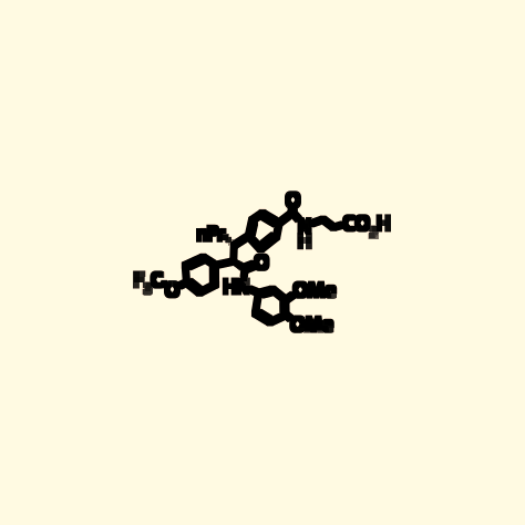 CCC[C@H](c1ccc(C(=O)NCCC(=O)O)cc1)[C@@H](C(=O)Nc1ccc(OC)c(OC)c1)c1ccc(OC(F)(F)F)cc1